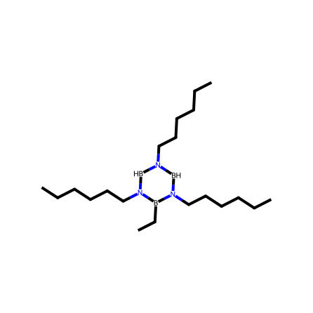 CCCCCCN1BN(CCCCCC)B(CC)N(CCCCCC)B1